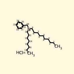 CCCCCCCCCCN(CCCCCCCC)Cc1ccccc1.Cl